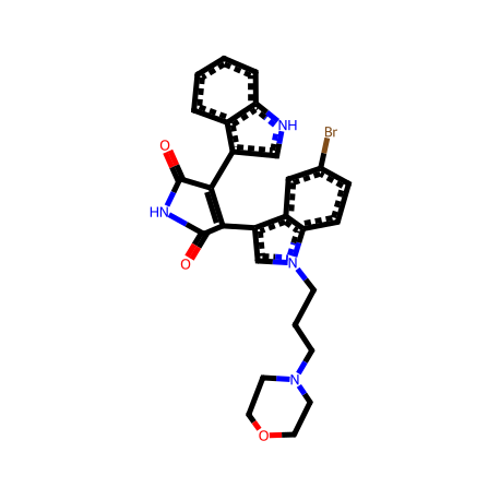 O=C1NC(=O)C(c2cn(CCCN3CCOCC3)c3ccc(Br)cc23)=C1c1c[nH]c2ccccc12